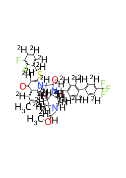 [2H]c1c([2H])c(F)c(F)c(C([2H])([2H])Sc2c([2H])c(=O)c3c([2H])c(C)c([2H])c([2H])c3n2C([2H])([2H])C(=O)N(C([2H])([2H])c2c([2H])c([2H])c(-c3c([2H])c([2H])c(C(F)(F)F)c([2H])c3[2H])c([2H])c2[2H])C2([2H])C([2H])([2H])C([2H])([2H])N(CC([2H])([2H])OC)C([2H])([2H])C2([2H])[2H])c1[2H]